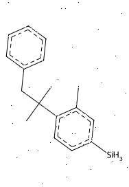 Cc1cc([SiH3])ccc1C(C)(C)Cc1ccccc1